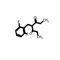 CCC(=O)C(Cc1c(F)cccc1F)C(=O)CC